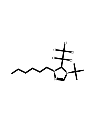 CCCCCCN1N=CN(C(C)(C)C)C1C(Cl)(Cl)C(Cl)(Cl)Cl